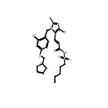 CCCCCS(=O)(=O)NC(=O)C=Cc1c(Cl)nc(C)n1Cc1ccc(OCC2CCCC2)cc1Cl